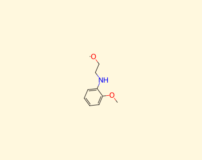 COc1ccccc1NCC[O]